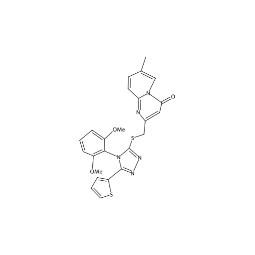 COc1cccc(OC)c1-n1c(SCc2cc(=O)n3cc(C)ccc3n2)nnc1-c1cccs1